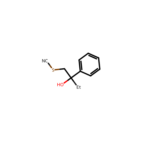 CCC(O)(CSC#N)c1ccccc1